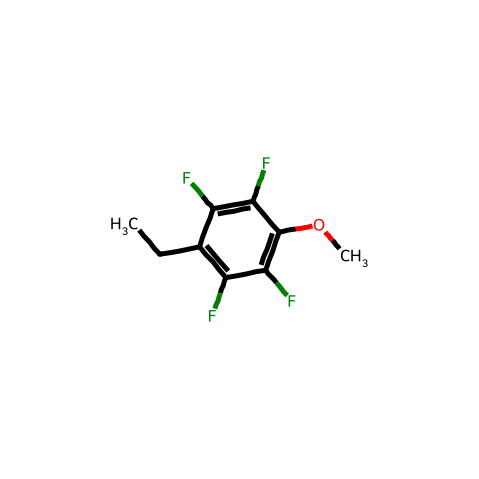 CCc1c(F)c(F)c(OC)c(F)c1F